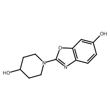 Oc1ccc2nc(N3CCC(O)CC3)oc2c1